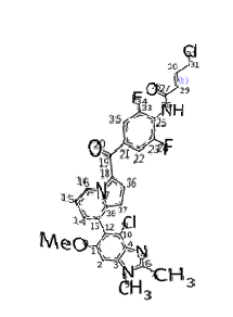 COc1cc2c(nc(C)n2C)c(Cl)c1-c1cccn2c(C(=O)c3cc(F)c(NC(=O)/C=C/CCl)c(F)c3)ccc12